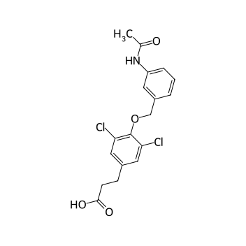 CC(=O)Nc1cccc(COc2c(Cl)cc(CCC(=O)O)cc2Cl)c1